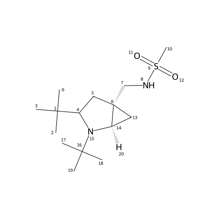 CC(C)(C)C1C[C@@]2(CNS(C)(=O)=O)C[C@H]2N1C(C)(C)C